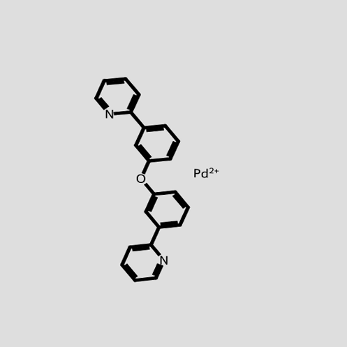 [Pd+2].c1ccc(-c2cccc(Oc3cccc(-c4ccccn4)c3)c2)nc1